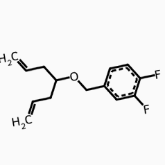 C=CCC(CC=C)OCc1ccc(F)c(F)c1